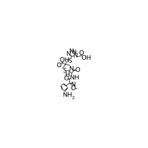 CON=C(C(=O)NC1C(=O)N2CC(CSc3nnnn3CC(=O)O)(C(=O)O)CS[C@H]12)c1cccc(N)c1